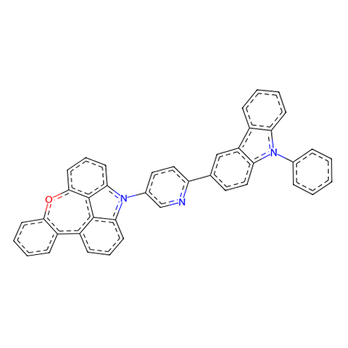 c1ccc(-n2c3ccccc3c3cc(-c4ccc(-n5c6cccc7oc8ccccc8c8cccc5c8c76)cn4)ccc32)cc1